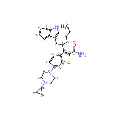 CCCCC(Cc1c[nH]c2ccccc12)c1c(C(N)=O)sc2cc(N3CCN(C4CC4)CC3)ccc12